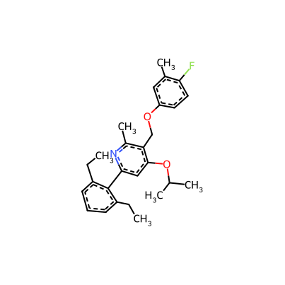 CCc1cccc(CC)c1-c1cc(OC(C)C)c(COc2ccc(F)c(C)c2)c(C)n1